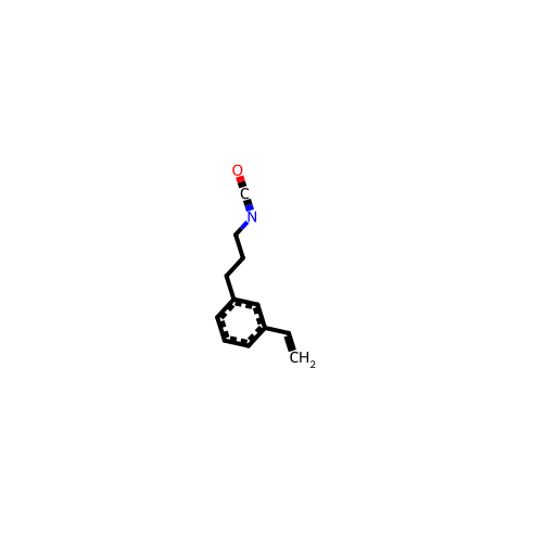 C=Cc1cccc(CCCN=C=O)c1